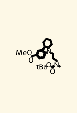 COC(=O)c1ccc2c(c1)c1c(n2CCCN(C)C(=O)OC(C)(C)C)CCCC1